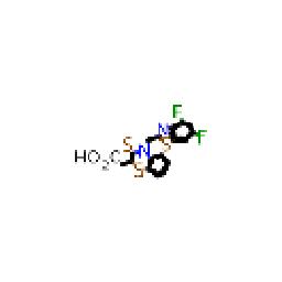 O=C(O)CC1Sc2ccccc2N(Cc2nc3c(F)cc(F)cc3s2)C1=S